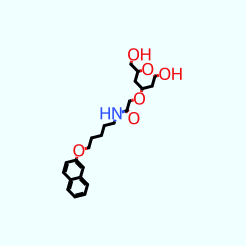 O=C(COC1CC(O)OC(CO)C1)NCCCCCOc1ccc2ccccc2c1